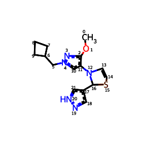 COc1nn(CC2CCC2)cc1N1C=CSC1c1cn[nH]c1